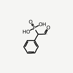 O=[C]C(c1ccccc1)P(=O)(O)O